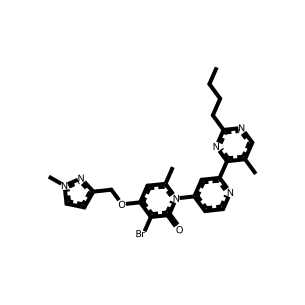 CCCCc1ncc(C)c(-c2cc(-n3c(C)cc(OCc4ccn(C)n4)c(Br)c3=O)ccn2)n1